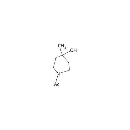 CC(=O)N1CCC(C)(O)CC1